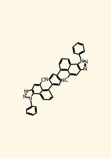 N#Cc1cc2nnn(-c3ccccc3)c2c2cccc(-c3ccc(-c4cccc5c4c(C#N)cc4nnn(-c6ccccc6)c45)cc3)c12